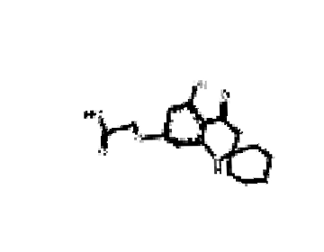 O=C(O)COc1cc(O)c2c(c1)NC1(CCCCC1)CC2=O